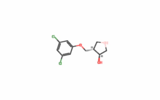 O[C@@H]1CBC[C@H]1COc1cc(Cl)cc(Cl)c1